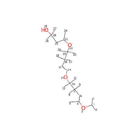 CC(C)OC(C)CC(C)(C)C(C)(C)OCCC(C)(C)C(C)(C)OC(C)CC(C)(C)O